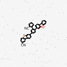 N#Cc1ccc2sc3cc(-c4ccc(-c5ccc6c(c5)oc5ccccc56)c(-c5ccccc5C#N)c4)ccc3c2c1